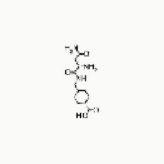 NC(=O)C[C@H](N)C(=O)NC[C@H]1CC[C@H](C(=O)O)CC1